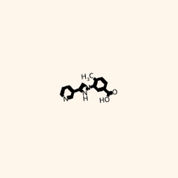 Cc1ccc(C(=O)O)cc1-n1cc(-c2cccnc2)[nH]1